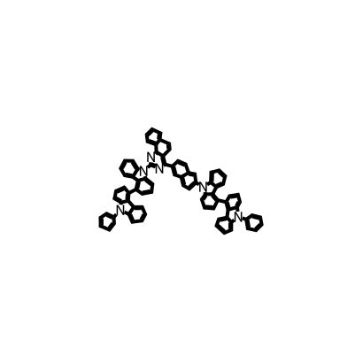 c1ccc(-n2c3ccccc3c3c(-c4cccc5c4c4ccccc4n5-c4ccc5cc(-c6nc(-n7c8ccccc8c8c(-c9cccc%10c9c9ccccc9n%10-c9ccccc9)cccc87)nc7c6ccc6ccccc67)ccc5c4)cccc32)cc1